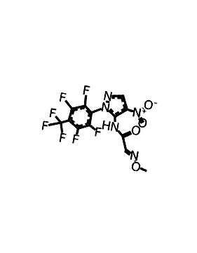 CON=CC(=O)Nc1c([N+](=O)[O-])cnn1-c1c(F)c(F)c(C(F)(F)F)c(F)c1F